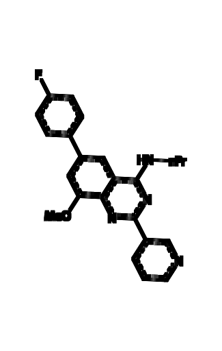 CCCNc1nc(-c2cccnc2)nc2c(OC)cc(-c3ccc(F)cc3)cc12